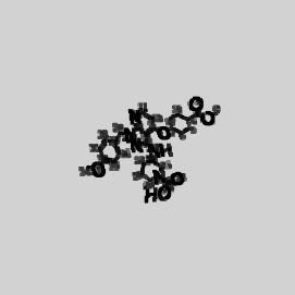 COC(=O)C1CCC(Oc2ccnc3c2c(N[C@@H]2CCCN(C(=O)O)C2)nn3Cc2ccc(OC)cc2)CC1